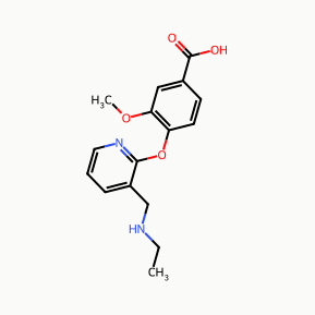 CCNCc1cccnc1Oc1ccc(C(=O)O)cc1OC